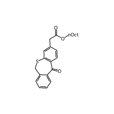 CCCCCCCCOC(=O)Cc1ccc2c(c1)SCc1ccccc1C2=O